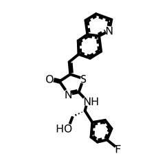 O=C1N=C(N[C@@H](CO)c2ccc(F)cc2)S/C1=C\c1ccc2ncccc2c1